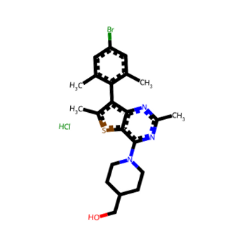 Cc1nc(N2CCC(CO)CC2)c2sc(C)c(-c3c(C)cc(Br)cc3C)c2n1.Cl